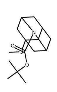 COC12CC3CC(C1)N(C(=O)OC(C)(C)C)C(C3)C2